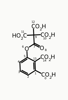 O=C(O)c1cccc(OC(=O)C(C(=O)O)(C(=O)O)C(=O)O)c1C(=O)O